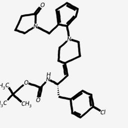 CC(C)(C)OC(=O)N[C@H](C=C1CCN(c2ccccc2CN2CCCC2=O)CC1)Cc1ccc(Cl)cc1